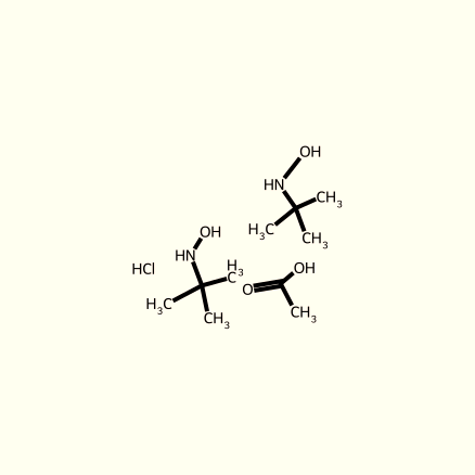 CC(=O)O.CC(C)(C)NO.CC(C)(C)NO.Cl